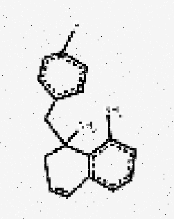 Nc1cccc2c1C(N)(Cc1ccc(F)cc1)CC=C2